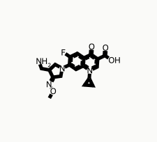 CO/N=C1\CN(c2cc3c(cc2F)c(=O)c(C(=O)O)cn3C2CC2)CC1CN